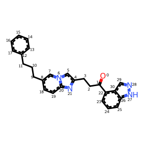 O=C(CCc1cn2cc(CCCc3ccccc3)ccc2n1)c1cccc2[nH]ncc12